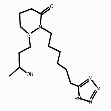 CC(O)CCN1CCCC(=O)N1CCCCCCc1nnn[nH]1